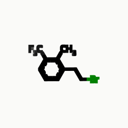 Cc1c(CCBr)cccc1C(F)(F)F